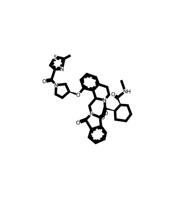 CNC(=O)[C@H]1CCCC[C@H]1C(=O)N1CCc2cccc(O[C@H]3CCN(C(=O)c4csc(C)n4)C3)c2C1CN1C(=O)c2ccccc2C1=O